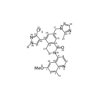 COc1cc(C)c2nccc(N3CCc4c(cc(Cn5ccnc5C)cc4-c4cn(C)nc4C(F)(F)F)C3=O)c2c1